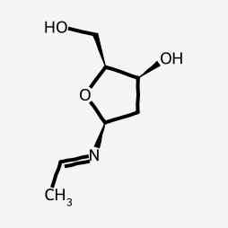 C/C=N/[C@@H]1C[C@H](O)[C@H](CO)O1